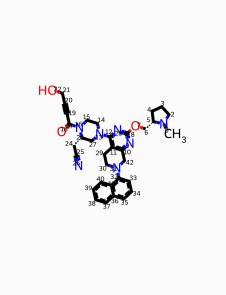 CN1CCC[C@H]1COc1nc2c(c(N3CCN(C(=O)C#CCO)[C@@H](CC#N)C3)n1)CCN(c1cccc3ccccc13)C2